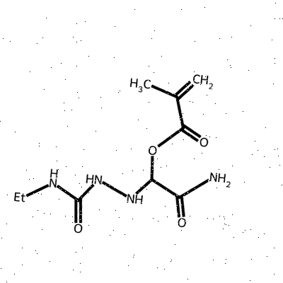 C=C(C)C(=O)OC(NNC(=O)NCC)C(N)=O